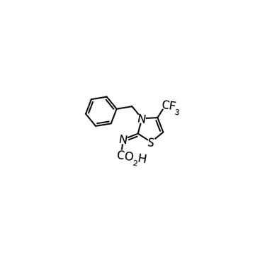 O=C(O)N=c1scc(C(F)(F)F)n1Cc1ccccc1